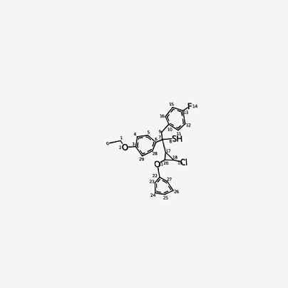 CCOc1ccc(C(S)(Cc2ccc(F)cc2)C2C(Cl)C2Oc2ccccc2)cc1